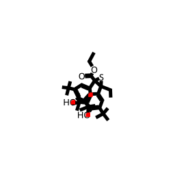 CCOC(=O)C1(c2cc(C(C)(C)C)c(O)c(C(C)(C)C)c2)SC1(CC)c1cc(C(C)(C)C)c(O)c(C(C)(C)C)c1